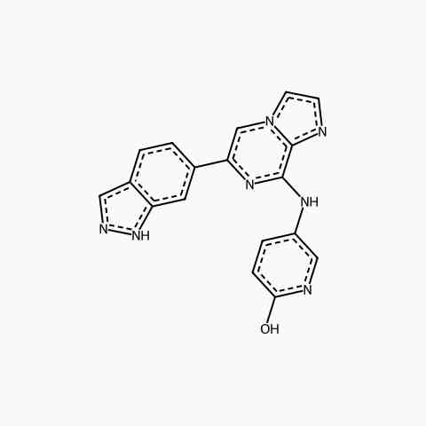 Oc1ccc(Nc2nc(-c3ccc4cn[nH]c4c3)cn3ccnc23)cn1